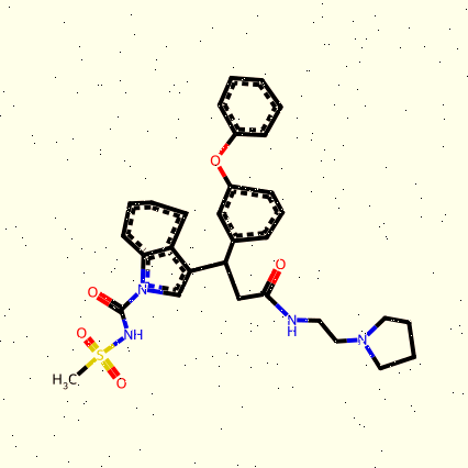 CS(=O)(=O)NC(=O)n1cc(C(CC(=O)NCCN2CCCC2)c2cccc(Oc3ccccc3)c2)c2ccccc21